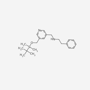 CC(C)(C)[Si](C)(C)OCc1cncc(CNCCc2ccccc2)c1